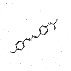 CCc1ccc(/C=N/N=C/c2ccc(OC(F)F)cc2)cc1